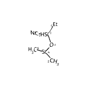 CC[SiH](C#N)O[Si](C)C